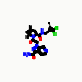 C[C@H]1[C@H](CNC(=O)[C@@H]2C[C@H]3C[C@H]3N2C(=O)Cn2nc(C(N)=O)c3ccncc32)C1(Cl)Cl